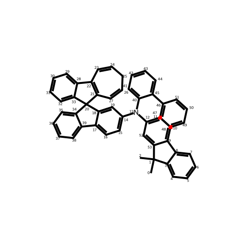 CC1(C)c2ccccc2-c2ccc(N(c3ccc4c(c3)C3(C5=C(C=CCC=C5)c5ccccc53)c3ccccc3-4)c3ccccc3-c3ccccc3)cc21